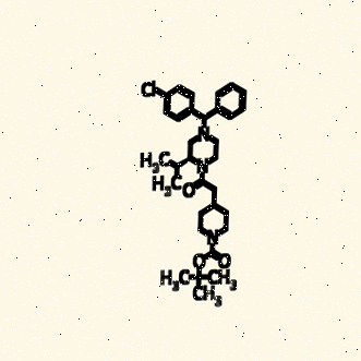 CC(C)[C@H]1CN(C(c2ccccc2)c2ccc(Cl)cc2)CCN1C(=O)CC1CCN(C(=O)OC(C)(C)C)CC1